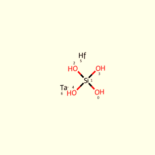 O[Si](O)(O)O.[Hf].[Ta]